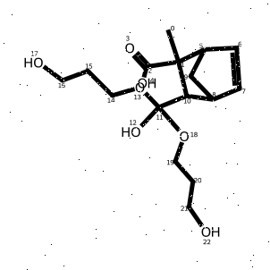 CC1(C(=O)O)C2C=CC(C2)C1C(O)(OCCCO)OCCCO